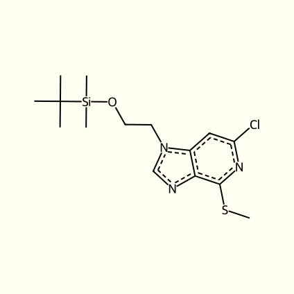 CSc1nc(Cl)cc2c1ncn2CCO[Si](C)(C)C(C)(C)C